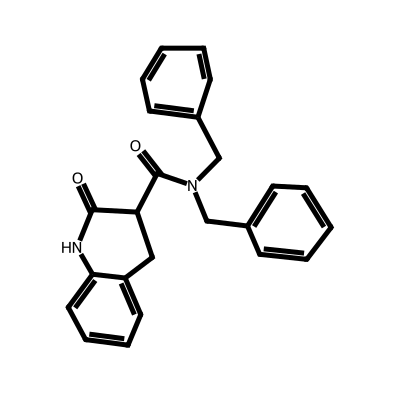 O=C1Nc2ccccc2CC1C(=O)N(Cc1ccccc1)Cc1ccccc1